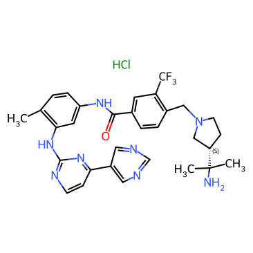 Cc1ccc(NC(=O)c2ccc(CN3CC[C@H](C(C)(C)N)C3)c(C(F)(F)F)c2)cc1Nc1nccc(-c2cncnc2)n1.Cl